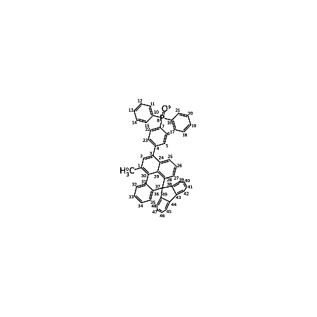 Cc1cc(-c2ccc(P(=O)(c3ccccc3)c3ccccc3)cc2)c2cccc3c2c1-c1ccccc1C31c2ccccc2-c2ccccc21